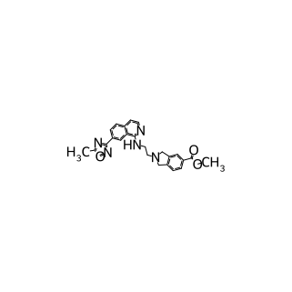 COC(=O)c1ccc2c(c1)CN(CCNc1nccc3ccc(-c4noc(C)n4)cc13)C2